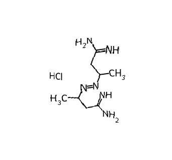 CC(CC(=N)N)N=NC(C)CC(=N)N.Cl